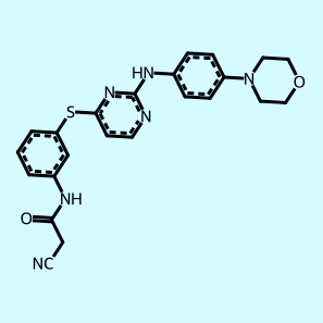 N#CCC(=O)Nc1cccc(Sc2ccnc(Nc3ccc(N4CCOCC4)cc3)n2)c1